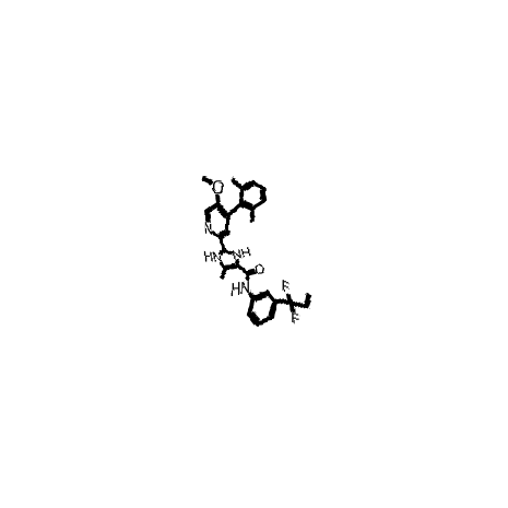 CCC(F)(F)c1cccc(NC(=O)C2=C(C)NC(c3cc(-c4c(C)cccc4C)c(OC)cn3)N2)c1